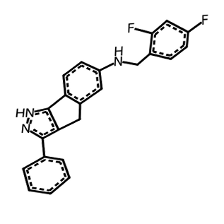 Fc1ccc(CNc2ccc3c(c2)Cc2c(-c4ccccc4)n[nH]c2-3)c(F)c1